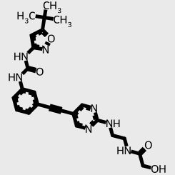 CC(C)(C)c1cc(NC(=O)Nc2cccc(C#Cc3cnc(NCCNC(=O)CO)nc3)c2)no1